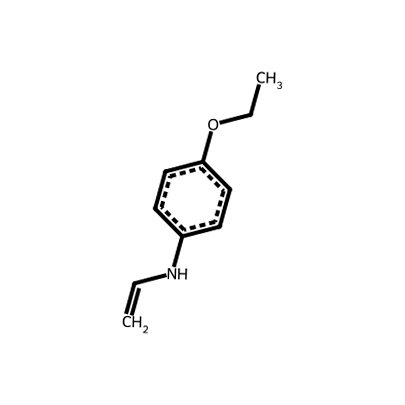 C=CNc1ccc(OCC)cc1